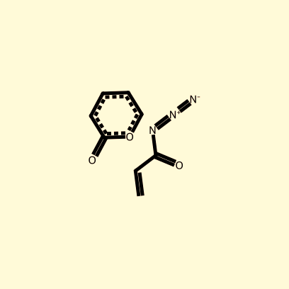 C=CC(=O)N=[N+]=[N-].O=c1cccco1